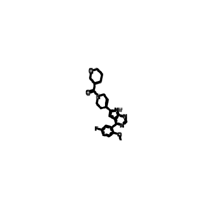 COc1ccc(F)cc1-c1ncnc2[nH]c(C3=CCN(C(=O)C4CCCOC4)CC3)cc12